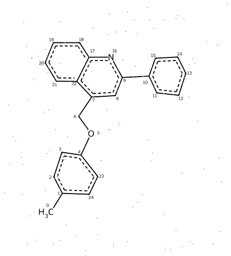 Cc1ccc(OCc2cc(-c3ccccc3)nc3ccccc23)cc1